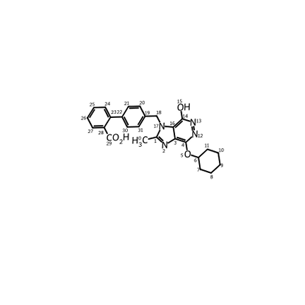 Cc1nc2c(OC3CCCCC3)nnc(O)c2n1Cc1ccc(-c2ccccc2C(=O)O)cc1